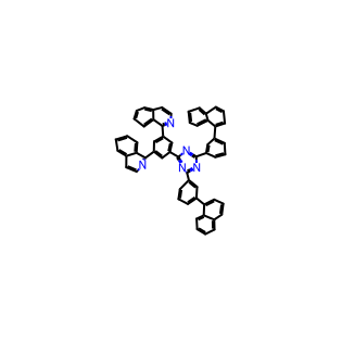 c1cc(-c2nc(-c3cccc(-c4cccc5ccccc45)c3)nc(-c3cc(-c4nccc5ccccc45)cc(-c4nccc5ccccc45)c3)n2)cc(-c2cccc3ccccc23)c1